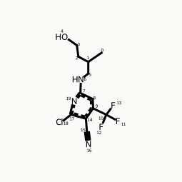 CC(CCO)CNc1cc(C(F)(F)F)c(C#N)c(Cl)n1